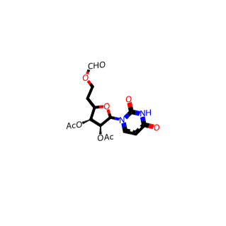 CC(=O)O[C@@H]1C(n2ccc(=O)[nH]c2=O)OC(CCOC=O)[C@@H]1OC(C)=O